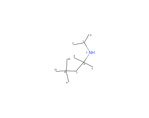 CC(C)NC(C)(C)CC(C)(C)C